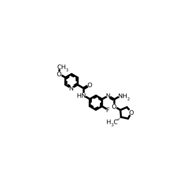 COc1ccc(C(=O)Nc2ccc(F)c(/N=C(/N)OC3COC[C@@H]3C)c2)nc1